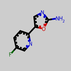 Nc1ncc(-c2ccc(F)cn2)o1